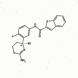 CC[C@@]1(c2cc(NC(=O)c3cc4ccccc4s3)ccc2F)CCSC(N)=N1